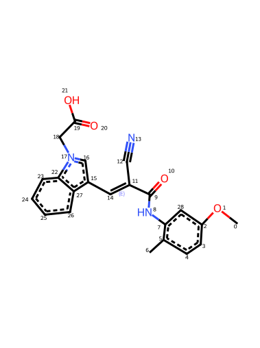 COc1ccc(C)c(NC(=O)/C(C#N)=C/c2cn(CC(=O)O)c3ccccc23)c1